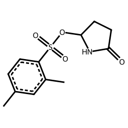 Cc1ccc(S(=O)(=O)OC2CCC(=O)N2)c(C)c1